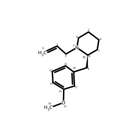 C=CCN1CCCC[C@H]1[CH]c1cccc(OC)c1